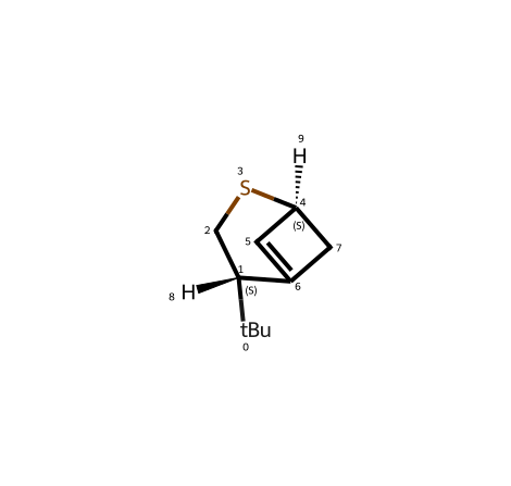 CC(C)(C)[C@@H]1CS[C@@H]2C=C1C2